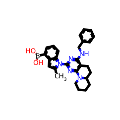 Cc1cc2c(B(O)O)cccc2n1-c1nc(NCc2ccccc2)c2c(n1)N1CCCCC1CC2